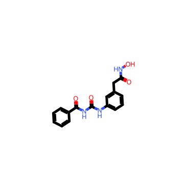 O=C(Cc1cccc(NC(=O)NC(=O)c2ccccc2)c1)NO